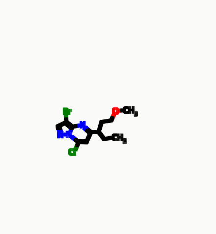 CCC(CCOC)c1cc(Cl)n2ncc(Br)c2n1